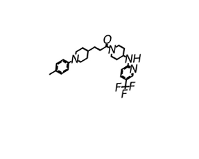 Cc1ccc(N2CCC(CCC(=O)N3CCC(Nc4ccc(C(F)(F)F)cn4)CC3)CC2)cc1